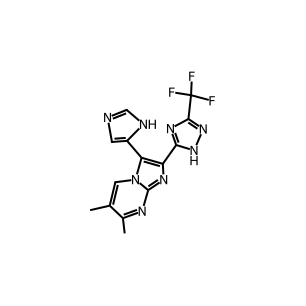 Cc1cn2c(-c3cnc[nH]3)c(-c3nc(C(F)(F)F)n[nH]3)nc2nc1C